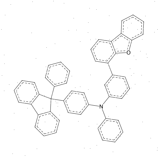 c1ccc(N(c2ccc(C3(c4ccccc4)c4ccccc4-c4ccccc43)cc2)c2cccc(-c3cccc4c3oc3ccccc34)c2)cc1